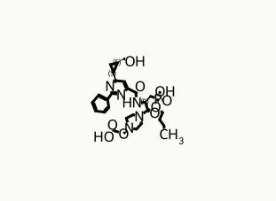 CCCCOP(=O)(O)C[C@H](NC(=O)c1cc([C@H]2C[C@@H]2CO)nc(-c2ccccc2)n1)C(=O)N1CCN(OC(=O)O)CC1